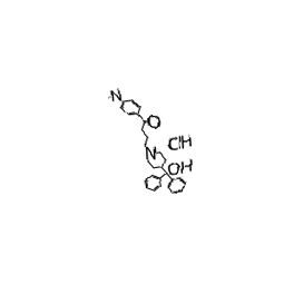 CN(C)c1ccc(C(=O)CCCN2CCC(C(O)(c3ccccc3)c3ccccc3)CC2)cc1.Cl